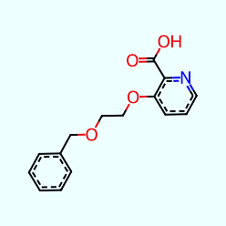 O=C(O)c1ncccc1OCCOCc1ccccc1